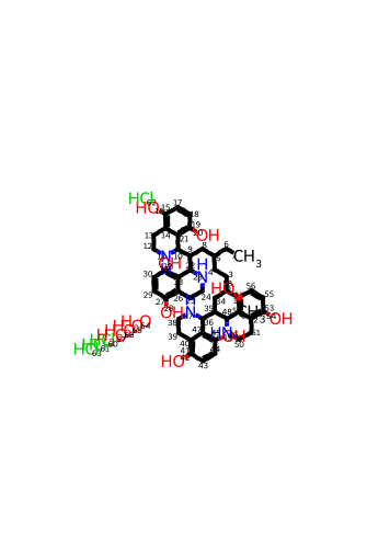 CCC(CCC(CC)CC(C1NCCc2c(O)ccc(O)c21)C1NCCc2c(O)ccc(O)c21)CC(C1NCCc2c(O)ccc(O)c21)C1NCCc2c(O)ccc(O)c21.Cl.Cl.Cl.Cl.O.O.O.O